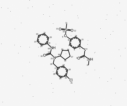 CNC(=O)Sc1ccc(OS(C)(=O)=O)cc1.O=C(Nc1ccccc1)N(Cc1ccc(Cl)cc1)C1CCCC1